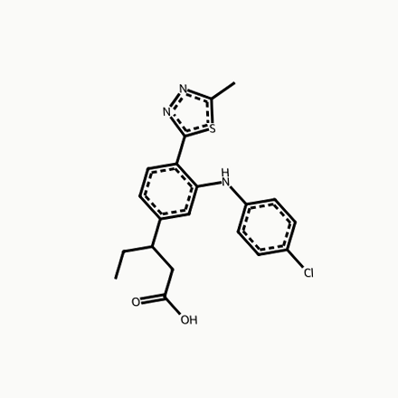 CCC(CC(=O)O)c1ccc(-c2nnc(C)s2)c(Nc2ccc(Cl)cc2)c1